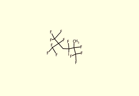 CC(F)(C(F)(F)F)C(F)(I)CC(F)(C(F)(F)F)C(F)(F)F